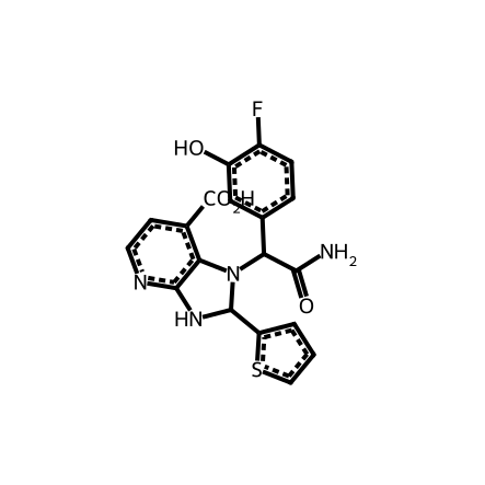 NC(=O)C(c1ccc(F)c(O)c1)N1c2c(C(=O)O)ccnc2NC1c1cccs1